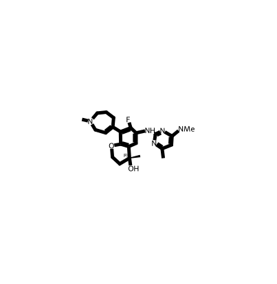 CNc1cc(C)nc(Nc2cc3c(c(C4=CCN(C)CCC4)c2F)OCC[C@@]3(C)O)n1